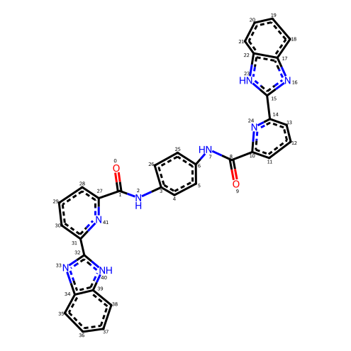 O=C(Nc1ccc(NC(=O)c2cccc(-c3nc4ccccc4[nH]3)n2)cc1)c1cccc(-c2nc3ccccc3[nH]2)n1